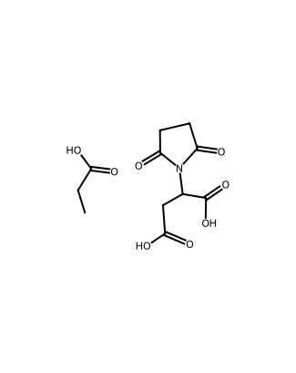 CCC(=O)O.O=C(O)CC(C(=O)O)N1C(=O)CCC1=O